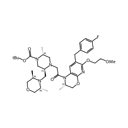 COCCOc1nc2c(cc1Cc1ccc(F)cc1)N(C(=O)CN1C[C@@H](C)N(C(=O)OC(C)(C)C)C[C@@H]1CN1[C@H](C)COC[C@H]1C)[C@@H](C)CO2